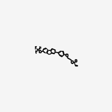 C=CC(=O)OCCOc1ccc(-c2ccc3c(c2)Cc2cc(OC(F)(F)F)ccc2-3)cc1